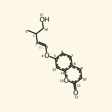 CC(/C=C/Oc1ccc2ccc(=O)oc2c1)CO